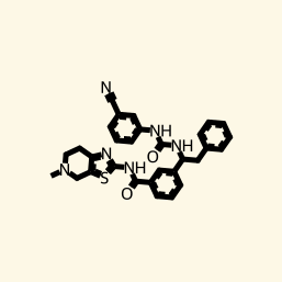 CN1CCc2nc(NC(=O)c3cccc(C(Cc4ccccc4)NC(=O)Nc4cccc(C#N)c4)c3)sc2C1